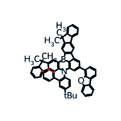 CC(C)(C)c1ccc(N2c3cc4c(cc3B3c5cc6c(cc5-c5cc(-c7cccc8c7oc7ccccc78)cc2c53)-c2ccccc2C6(C)C)C(C)(C)c2ccccc2-4)c(-c2ccccc2)c1